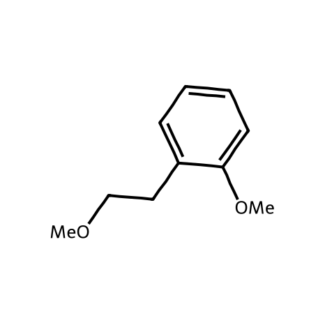 COCCc1ccccc1OC